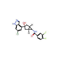 O=C(N[C@H]1[C@@H]2C[C@](O)(c3cc(Cl)cc4[nH]ncc34)C[C@@H]21)c1ccc(F)c(F)c1